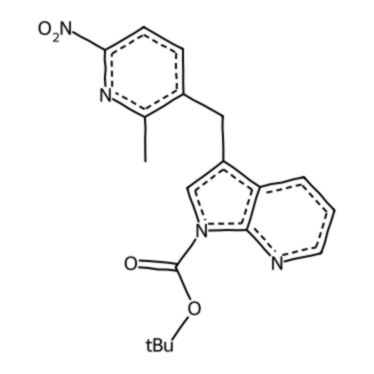 Cc1nc([N+](=O)[O-])ccc1Cc1cn(C(=O)OC(C)(C)C)c2ncccc12